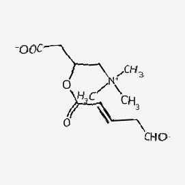 C[N+](C)(C)CC(CC(=O)[O-])OC(=O)C=CC[C]=O